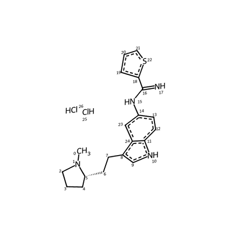 CN1CCC[C@H]1CCc1c[nH]c2ccc(NC(=N)c3cccs3)cc12.Cl.Cl